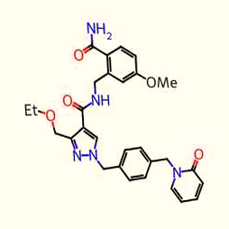 CCOCc1nn(Cc2ccc(Cn3ccccc3=O)cc2)cc1C(=O)NCc1cc(OC)ccc1C(N)=O